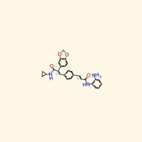 Nc1ccccc1NC(=O)/C=C/c1ccc(/C=C(/C(=O)NC2CC2)c2ccc3c(c2)OCO3)cc1